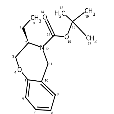 CC[C@@H]1COc2ccccc2CN1C(=O)OC(C)(C)C